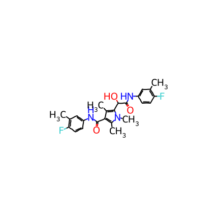 Cc1cc(NC(=O)c2c(C)c(C(O)C(=O)Nc3ccc(F)c(C)c3)n(C)c2C)ccc1F